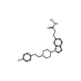 CCNC(=O)CCc1ccc2ccn(C3CCN(CCc4ccc(F)cc4)CC3)c2c1